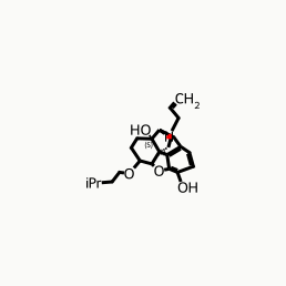 C=CCN1CC[C@]23c4c5ccc(O)c4OC2C(OCCC(C)C)CC[C@@]3(O)C1C5